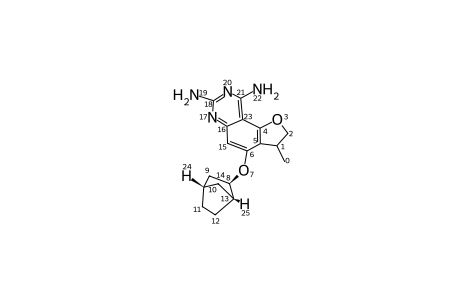 CC1COc2c1c(O[C@@H]1C[C@H]3CC[C@@H]1C3)cc1nc(N)nc(N)c21